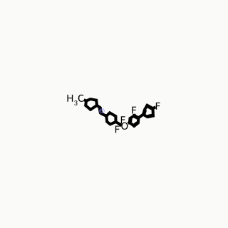 CC1CCC(/C=C/C2CCC(C(F)(F)Oc3ccc(-c4ccc(F)cc4)c(F)c3)CC2)CC1